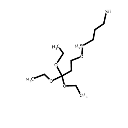 CCOC(CCO[SiH2]CCCS)(OCC)OCC